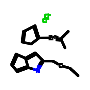 CCCCC1=NC2=CC=CC2=C1.C[C](C)=[Zr+2][C]1=CC=CC1.[Cl-].[Cl-]